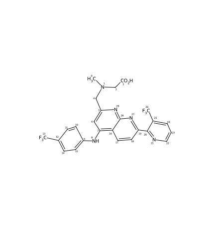 CN(CC(=O)O)Cc1cc(Nc2ccc(C(F)(F)F)cc2)c2ccc(-c3ncccc3C(F)(F)F)nc2n1